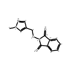 Cn1cc(CON2C(=O)c3ccccc3C2=O)cn1